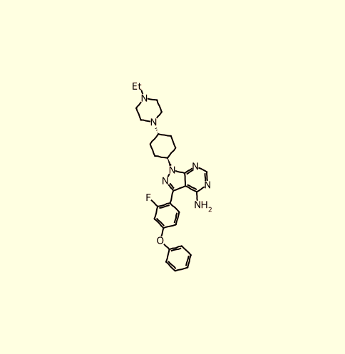 CCN1CCN([C@H]2CC[C@H](n3nc(-c4ccc(Oc5ccccc5)cc4F)c4c(N)ncnc43)CC2)CC1